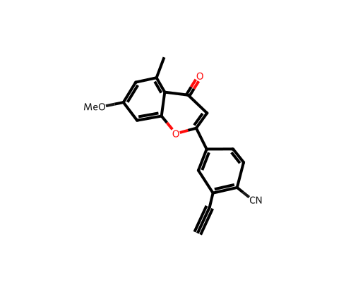 C#Cc1cc(-c2cc(=O)c3c(C)cc(OC)cc3o2)ccc1C#N